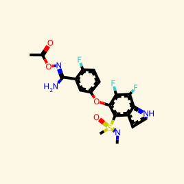 CN=S(C)(=O)c1c(Oc2ccc(F)c(/C(N)=N/OC(C)=O)c2)c(F)c(F)c2[nH]ccc12